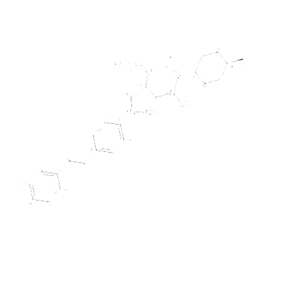 CC(C)N(c1nn(-c2ccc(CCc3ccccc3)cc2)cc1OC(=O)O)C(=O)[C@H]1CC[C@H](C)CC1